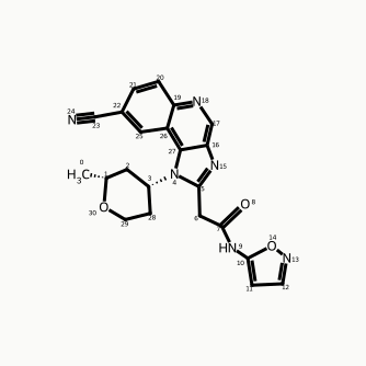 C[C@@H]1C[C@H](n2c(CC(=O)Nc3ccno3)nc3cnc4ccc(C#N)cc4c32)CCO1